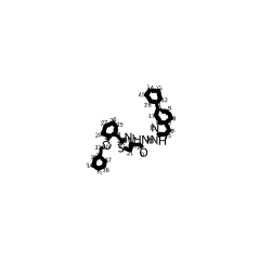 O=C(NNc1ccc2ccc(-c3ccccc3)cc2n1)c1csc(-c2ccccc2OCc2ccccc2)n1